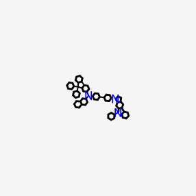 c1ccc(-n2c3ccccc3c3cc4ccn(-c5ccc(-c6ccc(N(c7ccc8c(c7)C(c7ccccc7)(c7ccccc7)c7ccccc7-8)c7ccc8ccccc8c7)cc6)cc5)c4cc32)cc1